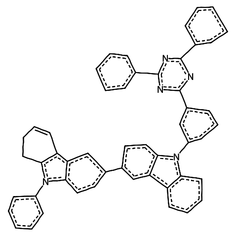 C1=Cc2c(n(-c3ccccc3)c3ccc(-c4ccc5c(c4)c4ccccc4n5-c4cccc(-c5nc(-c6ccccc6)nc(-c6ccccc6)n5)c4)cc23)CC1